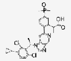 CC(C(=O)O)c1cc(P(C)(C)=O)ccc1-c1cc2c(cn1)ncn2[C@H](C)c1c(Cl)ccc(C2CC2)c1Cl